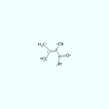 CC(C)=C(C#N)C(=O)C(C)C